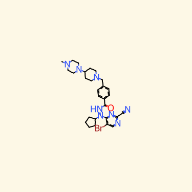 CN1CCN(C2CCN(Cc3ccc(C(=O)NN(c4nc(C#N)ncc4Br)C4CCCC4)cc3)CC2)CC1